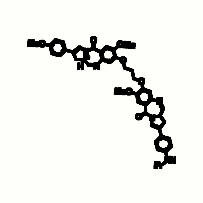 COc1ccc(C2=CN3C(=O)c4cc(OC)c(OCCCOc5cc6c(cc5OC)C(=O)N5C=C(c7ccc(NC(C)C)cc7)CC5C=N6)cc4N=C[C@@H]3C2)cc1